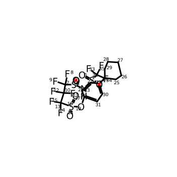 O=S(=O)(NS(=O)(=O)C(F)(F)C(F)(F)C(F)(F)S(=O)(=O)Oc1ccc(C2CCCCC2)cc1)C(F)(F)F